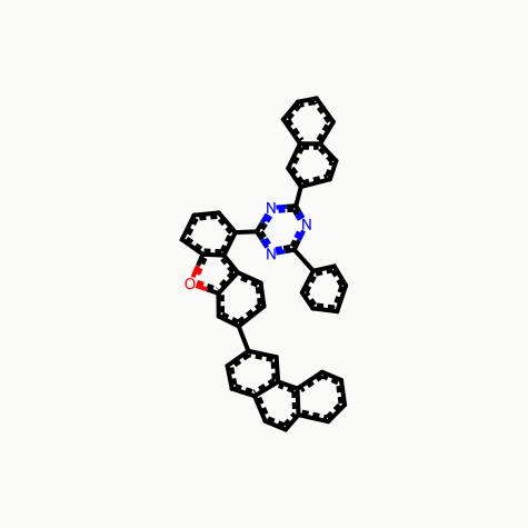 c1ccc(-c2nc(-c3ccc4ccccc4c3)nc(-c3cccc4oc5cc(-c6ccc7ccc8ccccc8c7c6)ccc5c34)n2)cc1